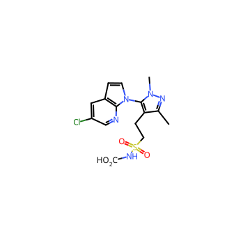 Cc1nn(C)c(-n2ccc3cc(Cl)cnc32)c1CCS(=O)(=O)NC(=O)O